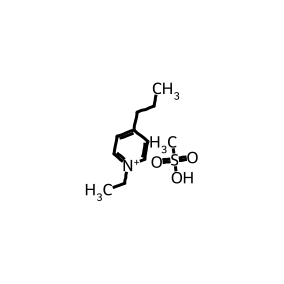 CCCc1cc[n+](CC)cc1.CS(=O)(=O)O